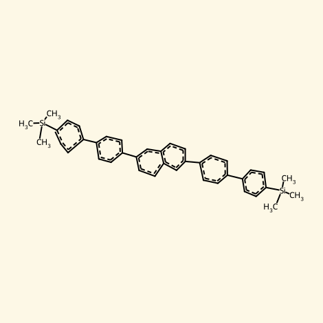 C[Si](C)(C)c1ccc(-c2ccc(-c3ccc4cc(-c5ccc(-c6ccc([Si](C)(C)C)cc6)cc5)ccc4c3)cc2)cc1